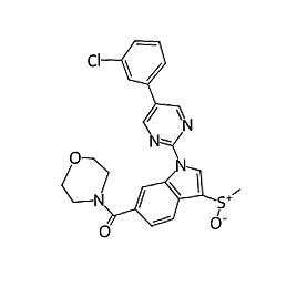 C[S+]([O-])c1cn(-c2ncc(-c3cccc(Cl)c3)cn2)c2cc(C(=O)N3CCOCC3)ccc12